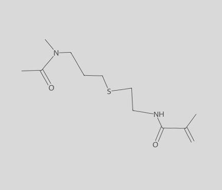 C=C(C)C(=O)NCCSCCCN(C)C(C)=O